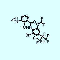 CONc1cccc(C(=O)Nc2c(Br)cc(C(F)(C(F)(F)F)C(F)(F)Cl)cc2OC(F)F)c1OC